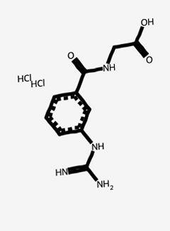 Cl.Cl.N=C(N)Nc1cccc(C(=O)NCC(=O)O)c1